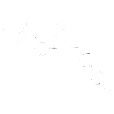 Cc1[nH]nc(Nc2ncnc3cc(OCCN4CCN(c5ncc(O)cn5)CC4)c([S+]([O-])C(C)(C)C)cc23)c1C